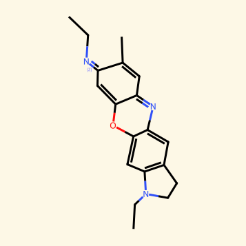 CC/N=c1/cc2oc3cc4c(cc3nc-2cc1C)CCN4CC